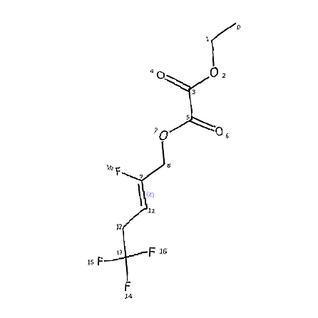 CCOC(=O)C(=O)OC/C(F)=C/CC(F)(F)F